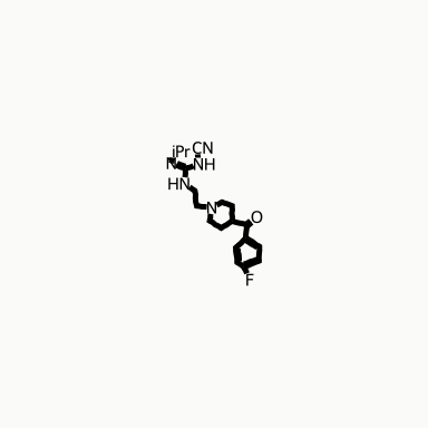 CC(C)/N=C(\NC#N)NCCN1CCC(C(=O)c2ccc(F)cc2)CC1